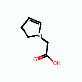 O=C(O)[CH2][In]1[CH]=CC[CH2]1